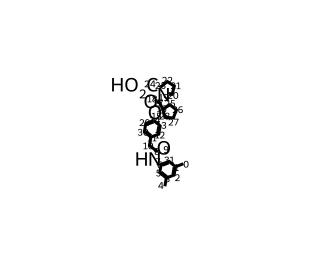 Cc1cc(C)cc(NC(=O)Cc2ccc(OC3(C(=O)N4CCC[C@H]4C(=O)O)CCCC3)cc2)c1